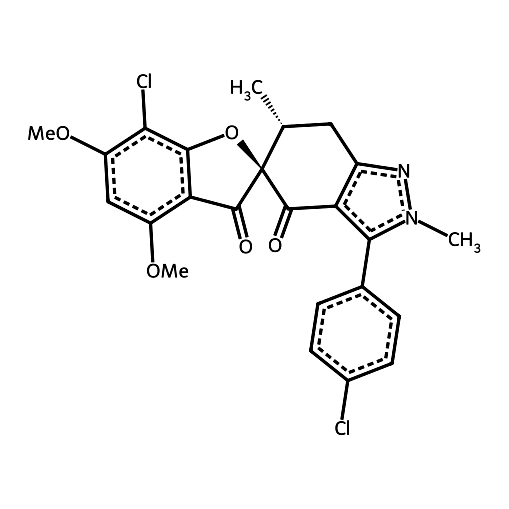 COc1cc(OC)c2c(c1Cl)O[C@]1(C2=O)C(=O)c2c(nn(C)c2-c2ccc(Cl)cc2)C[C@H]1C